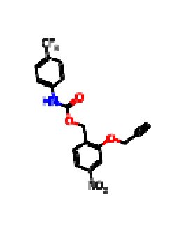 C#CCOc1cc([N+](=O)[O-])ccc1COC(=O)Nc1ccc(C(F)(F)F)cc1